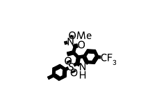 C=C(C(=O)N(C)OC)c1c(S(=O)(=O)c2ccc(C)cc2)[nH]c2cc(C(F)(F)F)ccc12